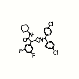 CN(C(=O)C(c1cc(F)cc(F)c1)C1CN(C(c2ccc(Cl)cc2)c2ccc(Cl)cc2)C1)C1CCCCC1